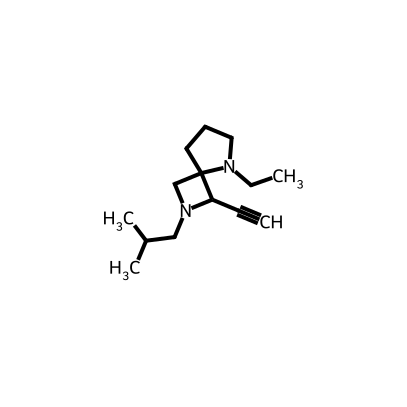 C#CC1N(CC(C)C)CC12CCCN2CC